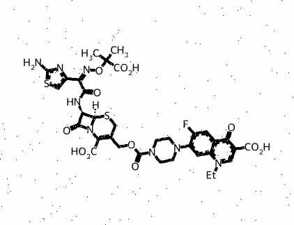 CCn1cc(C(=O)O)c(=O)c2cc(F)c(N3CCN(C(=O)OCC4=C(C(=O)O)N5C(=O)[C@@H](NC(=O)/C(=N\OC(C)(C)C(=O)O)c6csc(N)n6)[C@H]5SC4)CC3)cc21